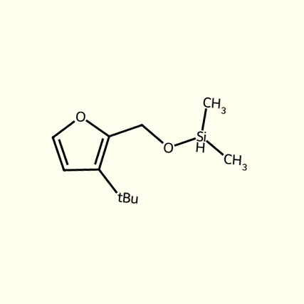 C[SiH](C)OCc1occc1C(C)(C)C